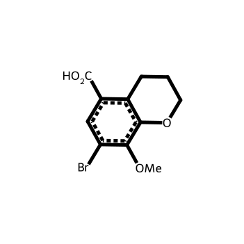 COc1c(Br)cc(C(=O)O)c2c1OCCC2